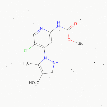 CC(C)(C)OC(=O)Nc1cc(N2NCC(C(=O)O)=C2C(F)(F)F)c(Cl)cn1